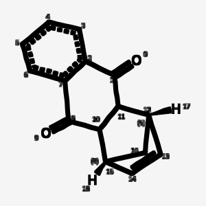 O=C1c2ccccc2C(=O)C2C1[C@@H]1C=C[C@H]2C1